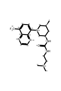 C[C@H]1C[C@@H](NC(=O)NCCN(C)C)CN(c2ccc(C(F)(F)F)c3nccnc23)C1